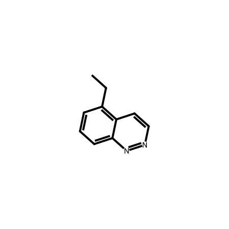 CCc1cccc2nnccc12